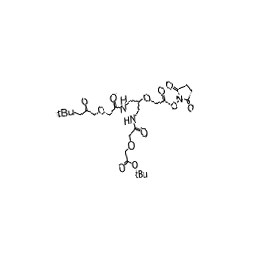 CC(C)(C)CC(=O)COCC(=O)NCC(CNC(=O)COCC(=O)OC(C)(C)C)OCC(=O)ON1C(=O)CCC1=O